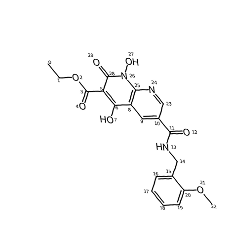 CCOC(=O)c1c(O)c2cc(C(=O)NCc3ccccc3OC)cnc2n(O)c1=O